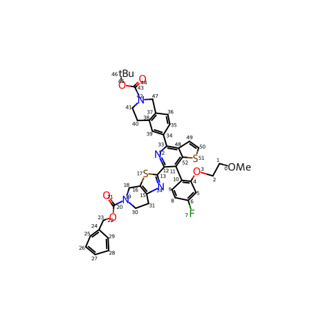 COCCOc1cc(F)ccc1-c1c(-c2nc3c(s2)CN(C(=O)OCc2ccccc2)CC3)nc(-c2ccc3c(c2)CCN(C(=O)OC(C)(C)C)C3)c2ccsc12